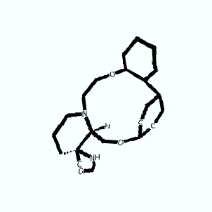 C1CCC2C3CCC(CC3)OC[C@H]3N(CCC[C@]34COCCN4)CCOC2C1